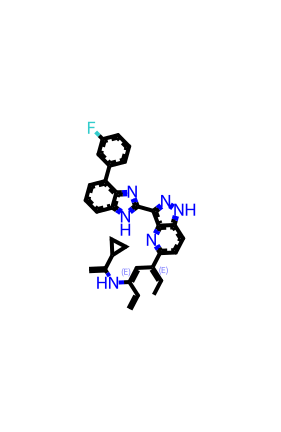 C=C/C(=C\C(=C/C)c1ccc2[nH]nc(-c3nc4c(-c5cccc(F)c5)cccc4[nH]3)c2n1)NC(=C)C1CC1